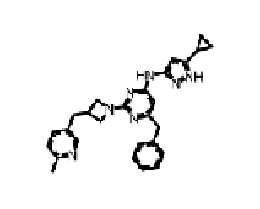 Cc1ccc(CC2CN(c3nc(Cc4ccccc4)cc(Nc4cc(C5CC5)[nH]n4)n3)C2)cn1